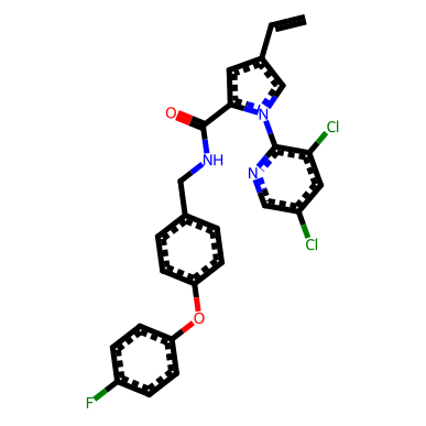 C=Cc1cc(C(=O)NCc2ccc(Oc3ccc(F)cc3)cc2)n(-c2ncc(Cl)cc2Cl)c1